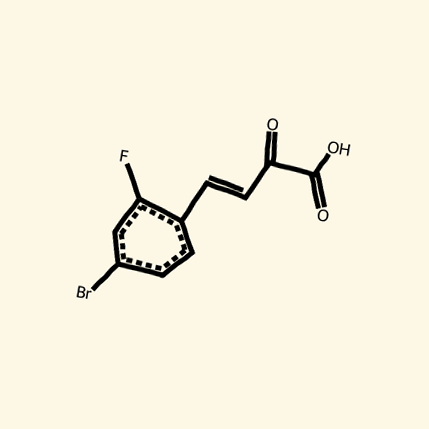 O=C(O)C(=O)/C=C/c1ccc(Br)cc1F